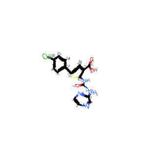 O=C(Nc1cnccn1)Nc1sc(-c2ccc(Cl)cc2)cc1C(=O)O